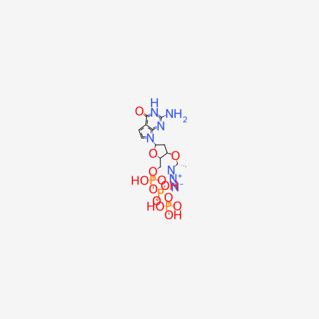 C[C@H](N=[N+]=[N-])O[C@@H]1CC(n2ccc3c(=O)[nH]c(N)nc32)OC1COP(=O)(O)OP(=O)(O)OP(=O)(O)O